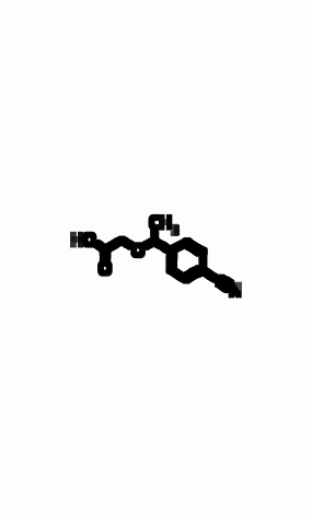 CC(OCC(=O)O)c1ccc(C#N)cc1